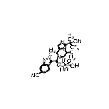 CC1CN(C(=O)c2c3ccc(C#N)cc3nn2C)Cc2cnc(C(C)(O)C(F)(F)F)n21.O=P(O)(O)O